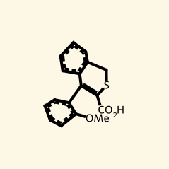 COc1ccccc1C1=C(C(=O)O)SCc2ccccc21